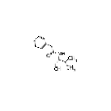 CC(C)[C@H](CO)NC(=O)Cc1ccccc1